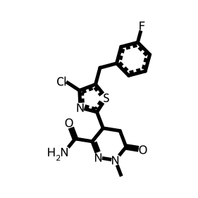 CN1N=C(C(N)=O)C(c2nc(Cl)c(Cc3cccc(F)c3)s2)CC1=O